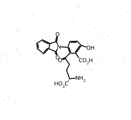 N[C@@H](CCC(=O)c1c(N2C(=O)c3ccccc3C2=O)ccc(O)c1C(=O)O)C(=O)O